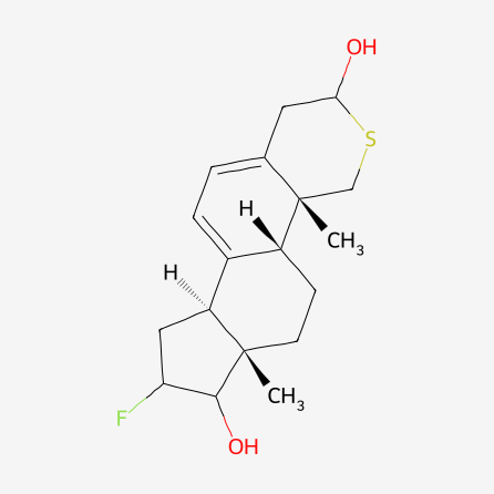 C[C@]12CSC(O)CC1=CC=C1[C@H]2CC[C@]2(C)C(O)C(F)C[C@@H]12